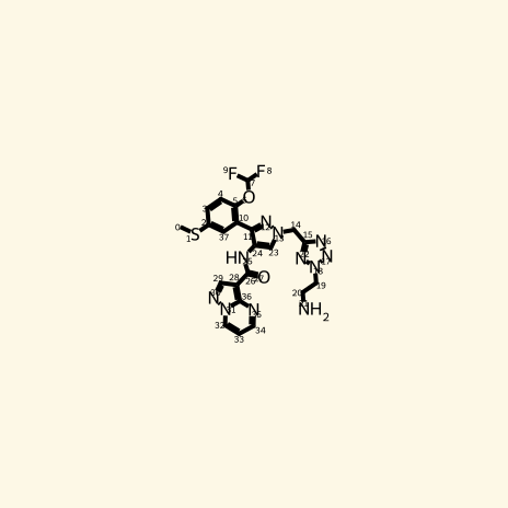 CSc1ccc(OC(F)F)c(-c2nn(Cc3nnn(CCN)n3)cc2NC(=O)c2cnn3cccnc23)c1